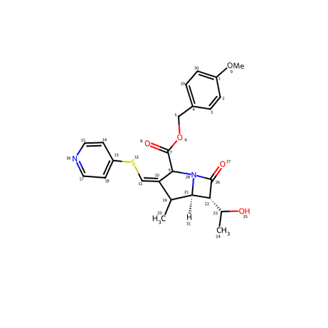 COc1ccc(COC(=O)C2C(=CSc3ccncc3)C(C)[C@@H]3[C@@H](C(C)O)C(=O)N23)cc1